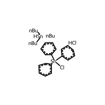 CCC[CH2][SnH]([CH2]CCC)[CH2]CCC.Cl.[Cl][Sn]([c]1ccccc1)([c]1ccccc1)[c]1ccccc1